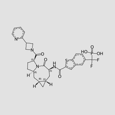 O=C(N[C@H]1C[C@@H]2C[C@@H]2C[C@H]2CC[C@@H](C(=O)N3CC(c4ccccn4)C3)N2C1=O)c1cc2cc(C(F)(F)P(=O)(O)O)ccc2s1